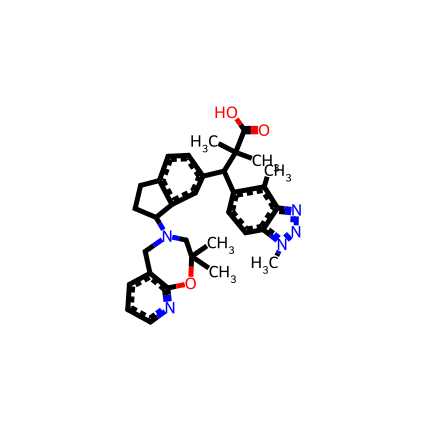 Cc1c(C(c2ccc3c(c2)C(N2Cc4cccnc4OC(C)(C)C2)CC3)C(C)(C)C(=O)O)ccc2c1nnn2C